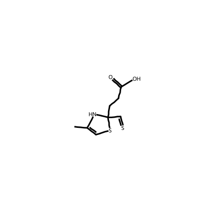 CC1=CSC(C=S)(CCC(=O)O)N1